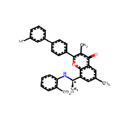 Cc1cc([C@@H](C)Nc2ccccc2C(=O)O)c2oc(-c3ccc(-c4cccc(C#N)c4)cc3)c(C)c(=O)c2c1